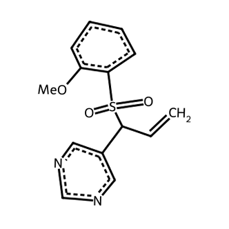 C=CC(c1cncnc1)S(=O)(=O)c1ccccc1OC